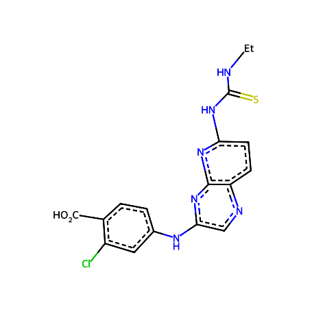 CCNC(=S)Nc1ccc2ncc(Nc3ccc(C(=O)O)c(Cl)c3)nc2n1